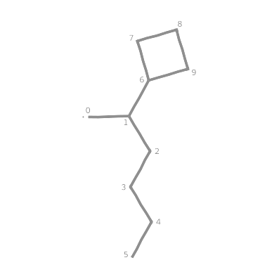 [CH2]C(CCCC)C1CCC1